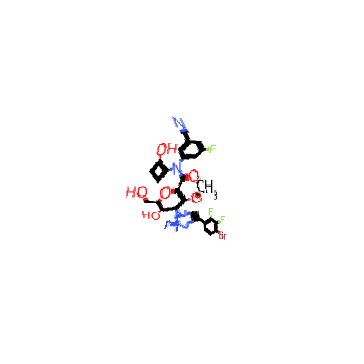 CO[C@@H]1[C@@H](n2cc(-c3ccc(Br)c(F)c3F)nn2)[C@@H](O)[C@@H](CO)O[C@H]1C(=O)N(c1cc(F)cc(C#N)c1)[C@H]1CC[C@@H]1O